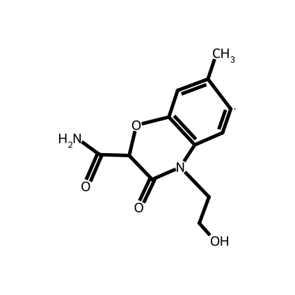 Cc1[c]cc2c(c1)OC(C(N)=O)C(=O)N2CCO